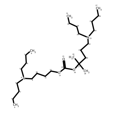 CCCCN(CCCC)CCCCOC(=O)OC(C)(C)CCCN(CCCC)CCCC